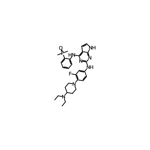 CCN(CC)C1CCN(c2ccc(Nc3nc(Nc4ccccc4P(C)(C)=O)c4cc[nH]c4n3)cc2F)CC1